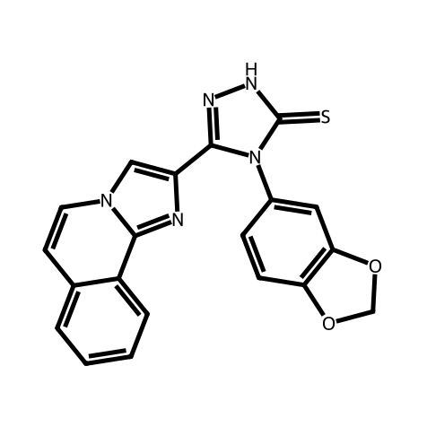 S=c1[nH]nc(-c2cn3ccc4ccccc4c3n2)n1-c1ccc2c(c1)OCO2